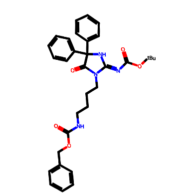 CC(C)(C)OC(=O)/N=C1\NC(c2ccccc2)(c2ccccc2)C(=O)N1CCCCNC(=O)OCc1ccccc1